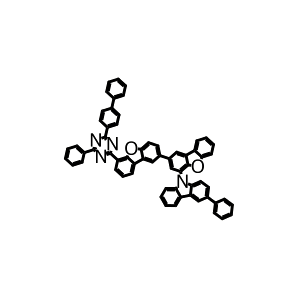 c1ccc(-c2ccc(-c3nc(-c4ccccc4)nc(-c4cccc5c4oc4ccc(-c6cc(-n7c8ccccc8c8cc(-c9ccccc9)ccc87)c7oc8ccccc8c7c6)cc45)n3)cc2)cc1